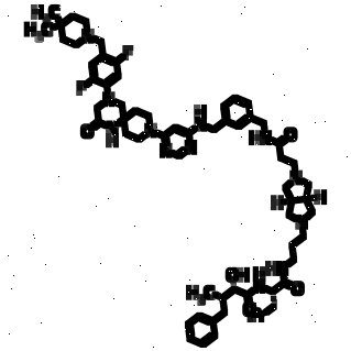 CC(C)C[C@H](NC(=O)[C@@H](O)[C@H](C)Cc1ccccc1)C(=O)NCCCN1C[C@@H]2CN(CCC(=O)NCc3cccc(CNc4cc(N5CCC6(CC5)CN(c5cc(F)c(CN7CCC(C)(C)CC7)cc5F)CC(=O)N6)ncn4)c3)C[C@@H]2C1